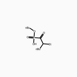 CCCCOP(=O)(O)C(=O)C(CC)CCCC